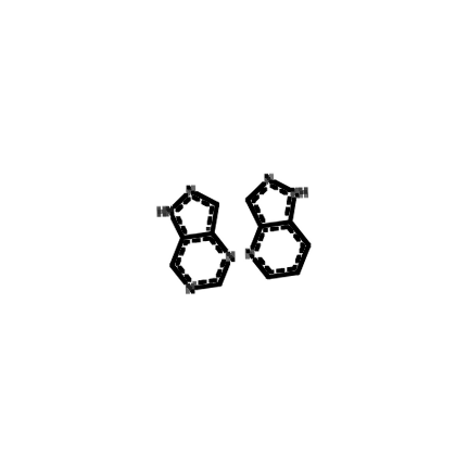 c1cnc2cn[nH]c2c1.c1ncc2[nH]ncc2n1